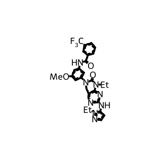 CCN1C(=O)N(c2cc(NC(=O)c3cccc(C(F)(F)F)c3)cc(OC)c2)Cc2cnc(Nc3ccnn3CC)nc21